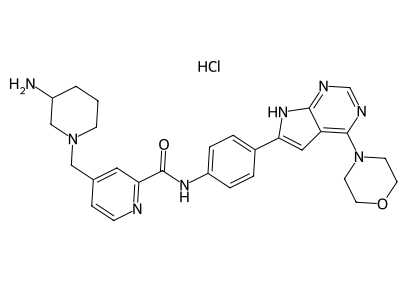 Cl.NC1CCCN(Cc2ccnc(C(=O)Nc3ccc(-c4cc5c(N6CCOCC6)ncnc5[nH]4)cc3)c2)C1